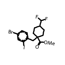 COC(=O)C1(Cc2ccc(Br)cc2I)CCC(C(F)F)CC1